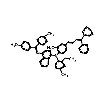 CCc1cc(C)ccc1N(c1ccc(/C=C/C=C(c2ccccc2)c2ccccc2)cc1C)c1ccc(C=C(c2ccc(C)cc2)c2ccc(C)cc2)c2ccccc12